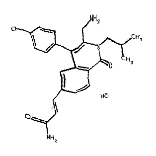 CC(C)Cn1c(CN)c(-c2ccc(Cl)cc2)c2cc(/C=C/C(N)=O)ccc2c1=O.Cl